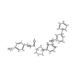 Cc1ccc(CNC(=O)[C@H]2CCCN(c3ccnc(Nc4cccc(-c5ccccc5)c4)n3)C2)cc1